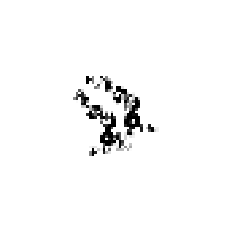 CC(C)Oc1ccc(-c2ccnc(N3CCN(CCN(C)C)CC3)n2)cc1C(C)(C)C.CC(C)Oc1ccc(-c2ccnc(N3CCN(CCN)CC3)n2)cc1C(C)(C)C